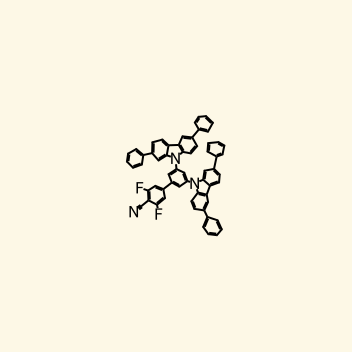 N#Cc1c(F)cc(-c2cc(-n3c4ccc(-c5ccccc5)cc4c4ccc(-c5ccccc5)cc43)cc(-n3c4ccc(-c5ccccc5)cc4c4ccc(-c5ccccc5)cc43)c2)cc1F